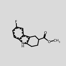 COC(=O)C1CCc2[nH]c3ccc(F)cc3c2C1